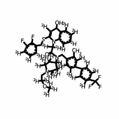 [2H]C1=C(SCc2c([2H])c([2H])c([2H])c(F)c2F)N(C([2H])([2H])C(=O)N(Cc2c([2H])c([2H])c(-c3c([2H])c([2H])c(C(F)(F)F)c([2H])c3[2H])c([2H])c2C)C2([2H])C([2H])([2H])C([2H])([2H])N(CC([2H])([2H])OC([2H])([2H])[2H])C([2H])([2H])C2([2H])[2H])c2c([2H])c([2H])c([2H])c([2H])c2C1O